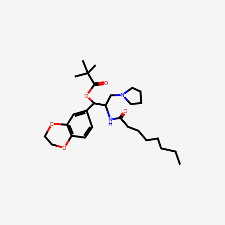 CCCCCCCC(=O)NC(CN1CCCC1)C(OC(=O)C(C)(C)C)c1ccc2c(c1)OCCO2